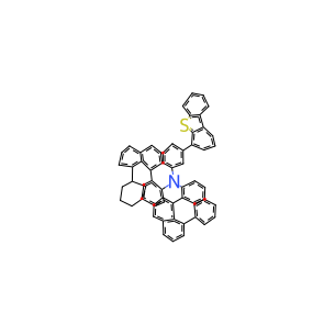 c1ccc(-c2cccc3cccc(-c4ccccc4N(c4cccc(-c5cccc6c5sc5ccccc56)c4)c4ccccc4-c4cccc5cccc(C6CCCCC6)c45)c23)cc1